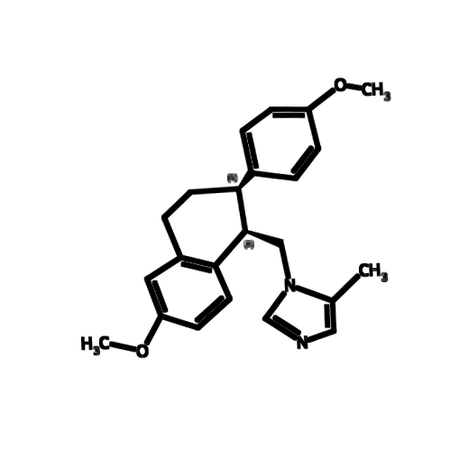 COc1ccc([C@@H]2CCc3cc(OC)ccc3[C@@H]2Cn2cncc2C)cc1